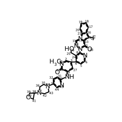 Cn1cc(-c2ccnc(-n3ncn4c(c(F)c5ccccc54)c3=O)c2CO)cc(Nc2ccc(N3CCN(C4COC4)CC3)cn2)c1=O